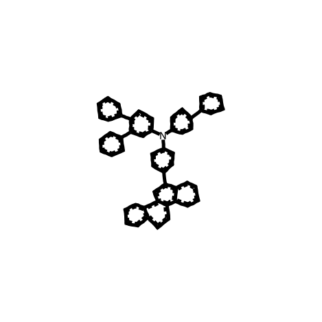 c1ccc(-c2ccc(N(c3ccc(-c4cc5c6ccccc6ccc5c5ccccc45)cc3)c3ccc(-c4ccccc4)c(-c4ccccc4)c3)cc2)cc1